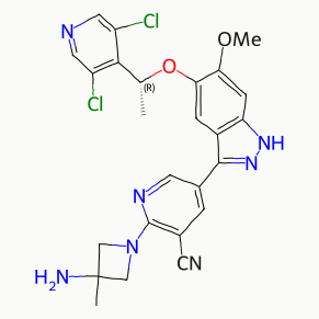 COc1cc2[nH]nc(-c3cnc(N4CC(C)(N)C4)c(C#N)c3)c2cc1O[C@H](C)c1c(Cl)cncc1Cl